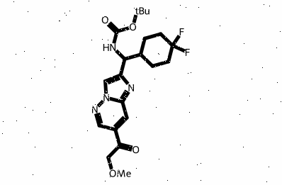 COCC(=O)c1cnn2cc(C(NC(=O)OC(C)(C)C)C3CCC(F)(F)CC3)nc2c1